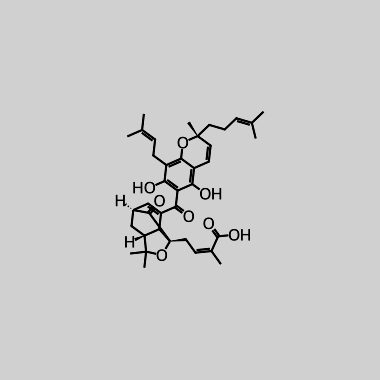 CC(C)=CCC[C@]1(C)C=Cc2c(O)c(C(=O)C3=C[C@@H]4C[C@@H]5C3[C@@](C/C=C(/C)C(=O)O)(OC5(C)C)C4=O)c(O)c(CC=C(C)C)c2O1